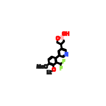 CCOc1c(OC)ccc(-c2cncc(C3COB(O)C3)c2)c1C(F)F